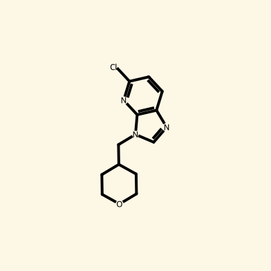 Clc1ccc2ncn(CC3CCOCC3)c2n1